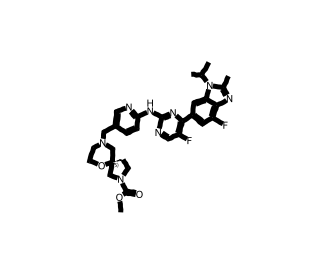 COC(=O)N1CC[C@]2(CN(Cc3ccc(Nc4ncc(F)c(-c5cc(F)c6nc(C)n(C(C)C)c6c5)n4)nc3)CCO2)C1